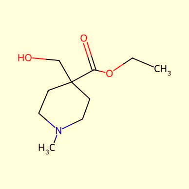 CCOC(=O)C1(CO)CCN(C)CC1